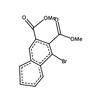 COC(=O)c1cc2ccccc2c(Br)c1C(=O)OC